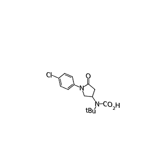 CC(C)(C)N(C(=O)O)C1CC(=O)N(c2ccc(Cl)cc2)C1